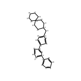 c1ccc(-c2cc(-c3ccc(CC4CCC5(CCCCC5)CC4)cc3)ccn2)cc1